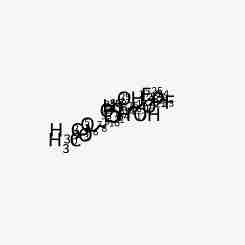 CC(C)OC(=O)CCC[C@@H]1CC[C@@H]2[C@@H](C=C[C@@H](O)COc3cc(F)ccc3F)[C@H](O)C[C@@H]2OC1